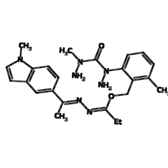 CC/C(=N/N=C(C)c1ccc2c(ccn2C)c1)OCc1c(C)cccc1N(N)C(=O)N(C)N